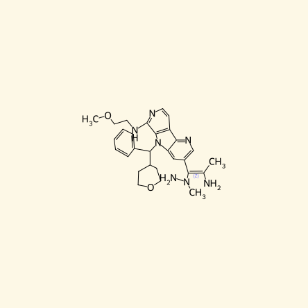 COCCNc1nccc2c3ncc(/C(=C(\C)N)N(C)N)cc3n(C(c3ccccc3)C3CCOCC3)c12